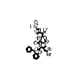 CO/N=C(/C(=O)NC1C(=O)N2C(C(=O)OC(c3ccccc3)c3ccccc3)=C(C=C(Br)Br)C[S+]([O-])[C@H]12)c1csc(NC=O)n1